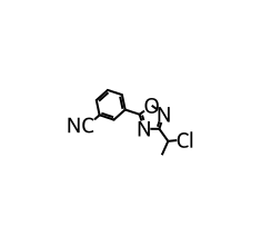 CC(Cl)c1noc(-c2cccc(C#N)c2)n1